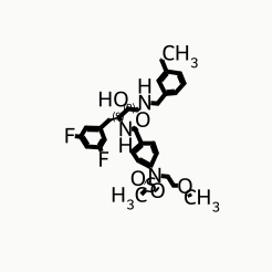 CCc1cccc(CNC[C@@H](O)[C@H](Cc2cc(F)cc(F)c2)NC(=O)c2ccc(N(CCOC)S(C)(=O)=O)cc2)c1